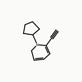 C#CC1=CC=CCN1C1CCCC1